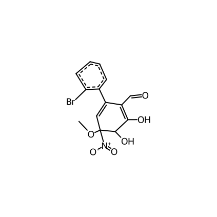 COC1([N+](=O)[O-])C=C(c2ccccc2Br)C(C=O)=C(O)C1O